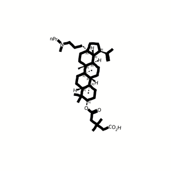 C=C(C)[C@@H]1CC[C@]2(CCCN(C)CCC)CC[C@]3(C)[C@H](CC[C@@H]4[C@@]5(C)CC[C@H](OC(=O)CC(C)(C)CC(=O)O)C(C)(C)[C@@H]5CC[C@]43C)[C@@H]12